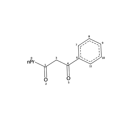 CCCC(=O)CC(=O)c1ccccc1